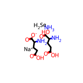 N.NC(CCC(=O)O)C(=O)O.NC(CCC(=O)O)C(=O)[O-].[Na+].[SeH2]